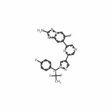 CC(F)(F)[C@@H](c1ccc(F)cc1)n1cc(-c2cncc(-c3cc4nc(N)nn4cc3F)n2)cn1